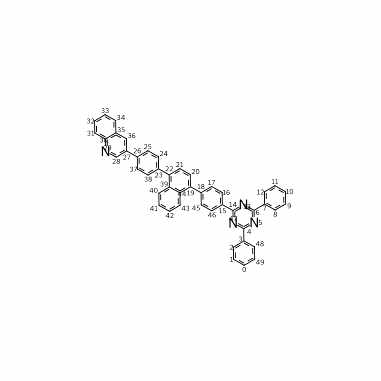 c1ccc(-c2nc(-c3ccccc3)nc(-c3ccc(-c4ccc(-c5ccc(-c6cnc7ccccc7c6)cc5)c5ccccc45)cc3)n2)cc1